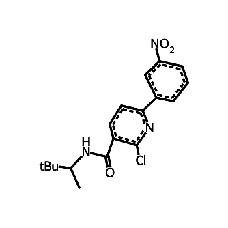 CC(NC(=O)c1ccc(-c2cccc([N+](=O)[O-])c2)nc1Cl)C(C)(C)C